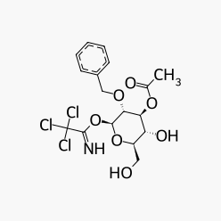 CC(=O)O[C@H]1[C@H](O)[C@@H](CO)O[C@@H](OC(=N)C(Cl)(Cl)Cl)[C@@H]1OCc1ccccc1